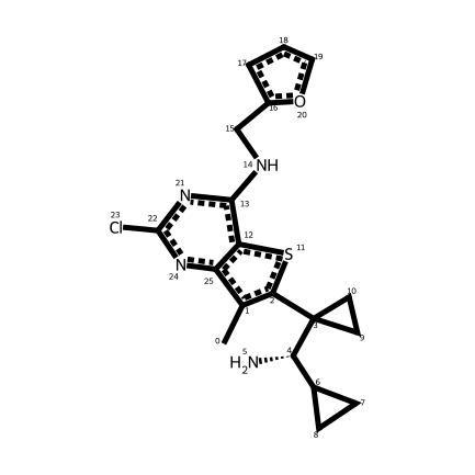 Cc1c(C2([C@@H](N)C3CC3)CC2)sc2c(NCc3ccco3)nc(Cl)nc12